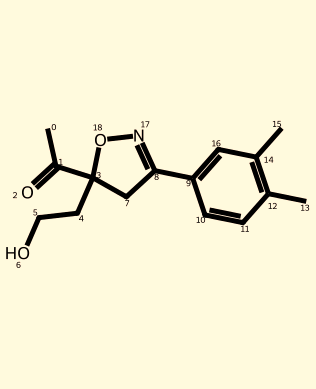 CC(=O)C1(CCO)CC(c2ccc(C)c(C)c2)=NO1